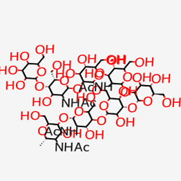 CC(=O)NC1C(O)[C@H](O[C@@H]2OC(CO)[C@H](O)[C@H](O)C2O)[C@H](CO)O[C@H]1OC1[C@@H](OCC2O[C@@H](O[C@@H]3C(CO)O[C@@H](O[C@@H]4C(CO)O[C@@H](C)C(NC(C)=O)[C@H]4O)C(NC(C)=O)[C@H]3O)C(O)[C@@H](O[C@H]3O[C@H](CO)[C@@H](O)C(O)C3O[C@@H]3OC(CO)[C@@H](O)[C@H](O)C3NC(C)=O)[C@@H]2O)OC(CO)[C@@H](O)[C@@H]1O